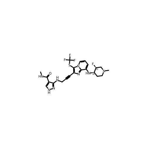 CNC(=O)c1c[nH]nc1NCC#Cc1nc2c(N[C@@H]3CCN(C)C[C@@H]3F)cccn2c1SC(F)(F)F